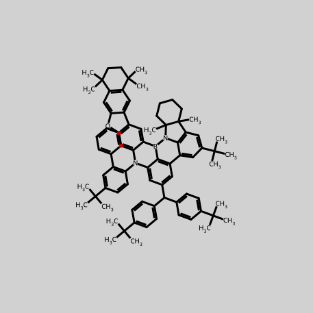 CC(C)(C)c1ccc(C(c2ccc(C(C)(C)C)cc2)c2cc3c4c(c2)N(c2ccc(C(C)(C)C)cc2-c2ccccc2)c2cc5oc6cc7c(cc6c5cc2B4N2c4c-3cc(C(C)(C)C)cc4C3(C)CCCCC23C)C(C)(C)CCC7(C)C)cc1